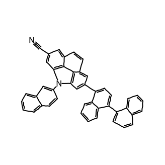 N#Cc1cc2ccc3cc(-c4ccc(-c5cccc6ccccc56)c5ccccc45)cc4c3c2c(c1)n4-c1ccc2ccccc2c1